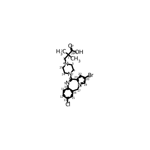 CC(C)(CN1CCN(C2=Nc3ccc(Cl)cc3Cn3cc(Br)cc32)CC1)C(=O)O